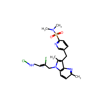 Cc1ccc2c(n1)c(Cc1ccc(S(=O)(=O)N(C)C)nc1)c(C)n2C/C(F)=C/CNCl